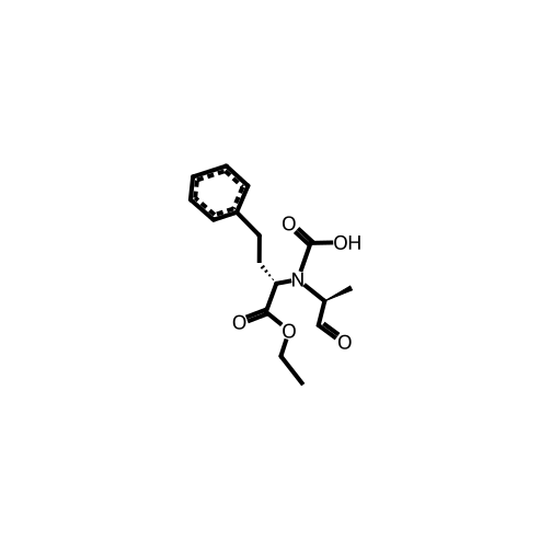 CCOC(=O)[C@H](CCc1ccccc1)N(C(=O)O)[C@@H](C)C=O